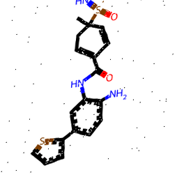 CC1([S@@](C)(=N)=O)C=CC(C(=O)Nc2cc(-c3cccs3)ccc2N)=CC1